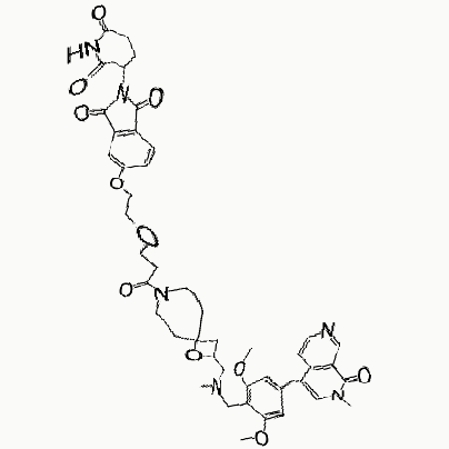 COc1cc(-c2cn(C)c(=O)c3cnccc23)cc(OC)c1CN(C)CC1CC2(CCN(C(=O)CCOCCOc3ccc4c(c3)C(=O)N(C3CCC(=O)NC3=O)C4=O)CC2)O1